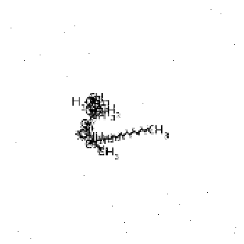 CCCCCCCCCCCCCCCCC(CCC)C(=O)NC1CCCCC1OC(=O)CCNC(=O)C1(C)OC(C)(C)OCC1C